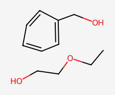 CCOCCO.OCc1ccccc1